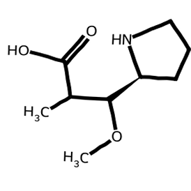 COC(C(C)C(=O)O)[C@@H]1CCCN1